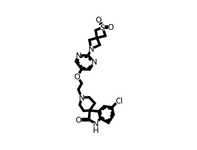 O=C1Nc2ccc(Cl)cc2C12CCN(CCOc1cnc(N3CC4(C3)CS(=O)(=O)C4)nc1)CC2